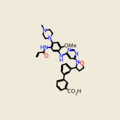 C=CC(=O)Nc1cc(Nc2cc(N3OCCC3c3cccc(-c4cccc(C(=O)O)c4)c3)ncn2)c(OC)cc1N1CCN(C)CC1